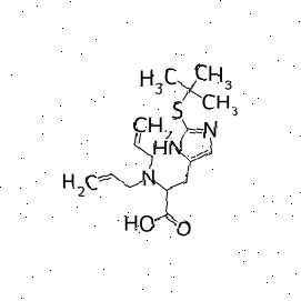 C=CCN(CC=C)C(Cc1cnc(SC(C)(C)C)[nH]1)C(=O)O